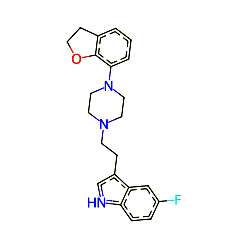 Fc1ccc2[nH]cc(CCN3CCN(c4cccc5c4OCC5)CC3)c2c1